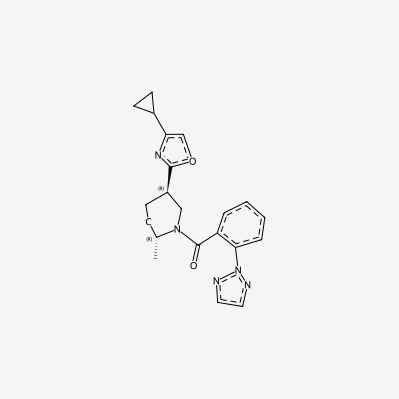 C[C@@H]1CC[C@@H](c2nc(C3CC3)co2)CN1C(=O)c1ccccc1-n1nccn1